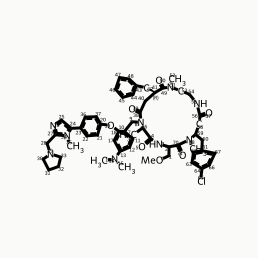 COCC1NC(=O)C(C)N(Cc2ccc(N(C)C)cc2Oc2ccc(-c3cnc(CN4CCCC4)n3C)cc2)C(=O)C[C@@H](Cc2ccccc2)C(=O)N(C)CCNC(=O)CC(Cc2ccc(Cl)cc2)N(C)C1=O